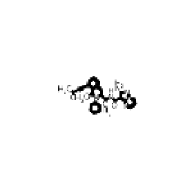 CC(C)C#Cc1cccc2cc(C(C)NC(=O)c3c(N)nn4cccnc34)n(-c3ccccc3)c(=O)c12